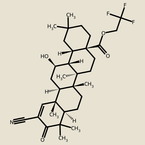 CC1(C)CC[C@]2(C(=O)OCC(F)(F)F)CC[C@]3(C)[C@H]([C@H](O)C[C@@H]4[C@@]5(C)C=C(C#N)C(=O)C(C)(C)[C@@H]5CC[C@]43C)[C@@H]2C1